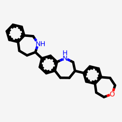 c1ccc2c(c1)CCC(c1ccc3c(c1)NCC(c1ccc4c(c1)CCOCC4)CC3)NC2